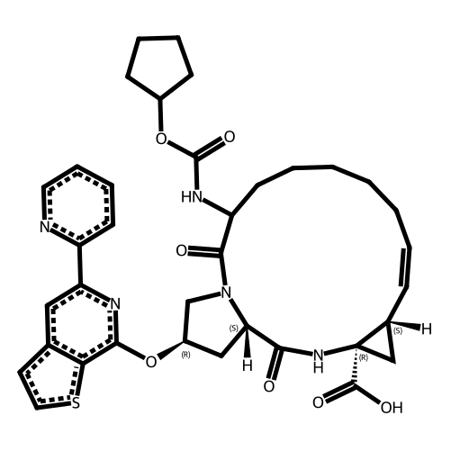 O=C(NC1CCCCCC=C[C@@H]2C[C@@]2(C(=O)O)NC(=O)[C@@H]2C[C@@H](Oc3nc(-c4ccccn4)cc4ccsc34)CN2C1=O)OC1CCCC1